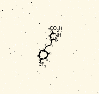 O=C(O)c1cc(CCc2ccc(C(F)(F)F)cc2)n[nH]1